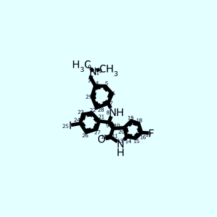 CN(C)Cc1ccc(NC(=C2C(=O)Nc3cc(F)ccc32)c2ccc(I)cc2)cc1